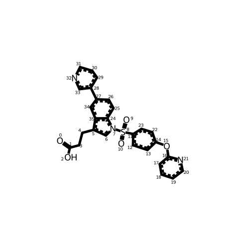 O=C(O)CCc1cn(S(=O)(=O)c2ccc(Oc3ccccn3)cc2)c2ccc(-c3cccnc3)cc12